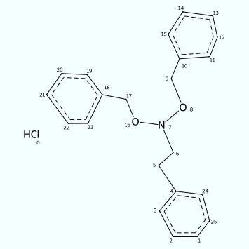 Cl.c1ccc(CCN(OCc2ccccc2)OCc2ccccc2)cc1